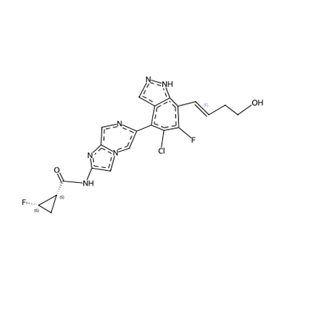 O=C(Nc1cn2cc(-c3c(Cl)c(F)c(/C=C/CCO)c4[nH]ncc34)ncc2n1)[C@@H]1C[C@@H]1F